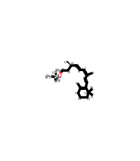 CC1=C(/C=C/C(C)=C\C=C\[C@H](C)CCO[Si](C(C)C)(C(C)C)C(C)C)C(C)(C)CCC1